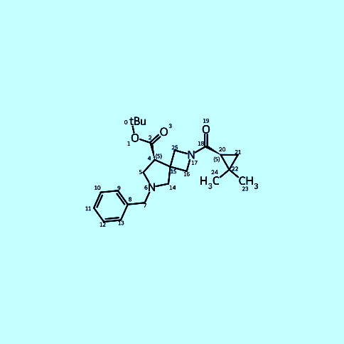 CC(C)(C)OC(=O)[C@@H]1CN(Cc2ccccc2)CC12CN(C(=O)[C@H]1CC1(C)C)C2